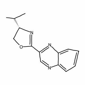 CC(C)[C@H]1COC(c2cnc3ccccc3n2)=N1